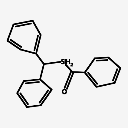 O=C([SiH2]C(c1ccccc1)c1ccccc1)c1ccccc1